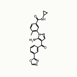 Cc1ccc(C(=O)NC2CC2)cc1-n1ncc(C(=O)c2cccc(-c3nnco3)c2)c1N